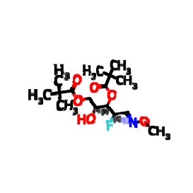 CO/N=C/[C@@H](F)[C@H](OC(=O)C(C)(C)C)[C@H](O)COC(=O)C(C)(C)C